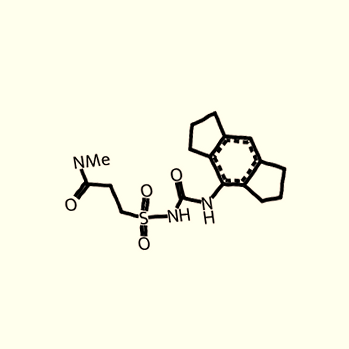 CNC(=O)CCS(=O)(=O)NC(=O)Nc1c2c(cc3c1CCC3)CCC2